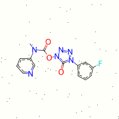 CN(C(=O)On1nnn(-c2cccc(F)c2)c1=O)c1cccnc1